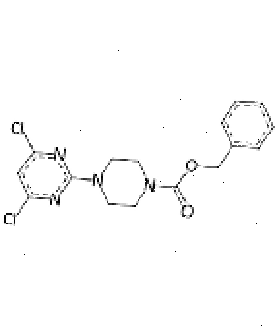 O=C(OCc1ccccc1)N1CCN(c2nc(Cl)cc(Cl)n2)CC1